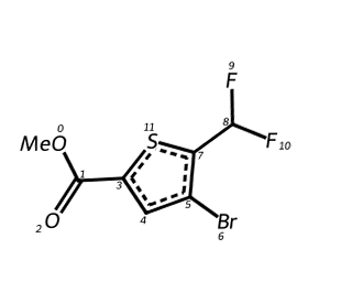 COC(=O)c1cc(Br)c(C(F)F)s1